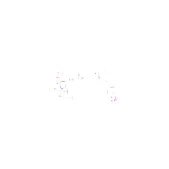 C[C@@H](O)[C@H]1C(=O)N2C(C(=O)O)=C(S[C@@H]3CCCN(CC4CCN(C(=O)OCc5ccc([N+](=O)[O-])cc5)CC4)C3)[C@H](C)[C@H]12